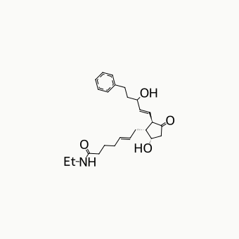 CCNC(=O)CCCC=CC[C@H]1[C@@H](O)CC(=O)[C@@H]1C=CC(O)CCc1ccccc1